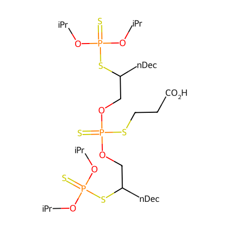 CCCCCCCCCCC(COP(=S)(OCC(CCCCCCCCCC)SP(=S)(OC(C)C)OC(C)C)SCCC(=O)O)SP(=S)(OC(C)C)OC(C)C